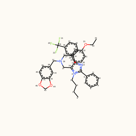 CCCCn1c(-c2ccccc2)nc(-c2cccc(C(F)(F)F)c2)c1CN(Cc1cccc(OCC)c1)Cc1ccc2c(c1)OCO2